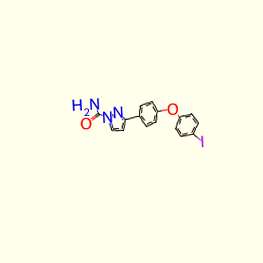 NC(=O)n1ccc(-c2ccc(Oc3ccc(I)cc3)cc2)n1